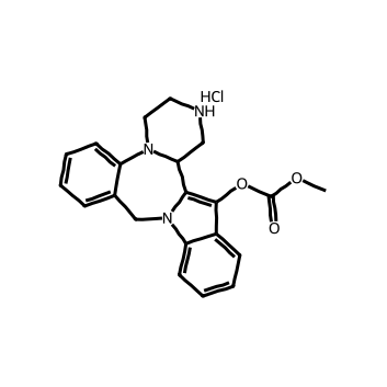 COC(=O)Oc1c2n(c3ccccc13)Cc1ccccc1N1CCNCC21.Cl